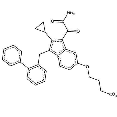 NC(=O)C(=O)c1c(C2CC2)c(Cc2ccccc2-c2ccccc2)n2ccc(OCCCC(=O)O)cc12